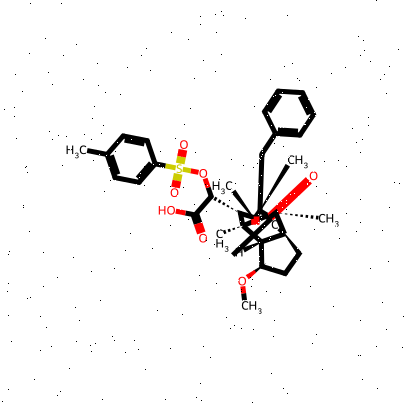 CO[C@@H]1CC[C@@]23CC[C@@H](C)[C@](C)([C@H](C(OS(=O)(=O)c4ccc(C)cc4)C(=O)O)C[C@](C)(Cc4ccccc4)C(=O)[C@@H]2C)[C@@H]13